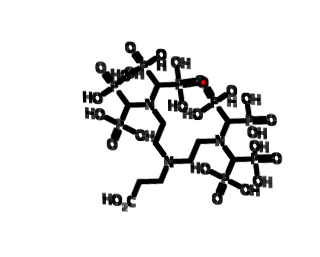 O=C(O)CCN(CCN(C(P(=O)(O)O)P(=O)(O)O)C(P(=O)(O)O)P(=O)(O)O)CCN(C(P(=O)(O)O)P(=O)(O)O)C(P(=O)(O)O)P(=O)(O)O